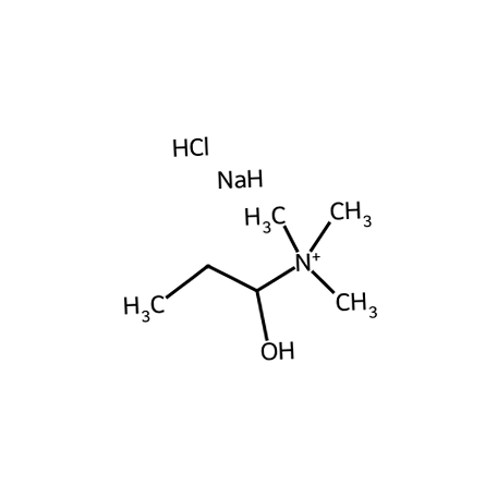 CCC(O)[N+](C)(C)C.Cl.[NaH]